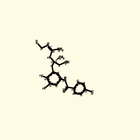 C[C@](CO)(Cc1cc(NC(=O)c2ccc(Cl)cn2)cc(F)c1F)S/C(N)=N\CF